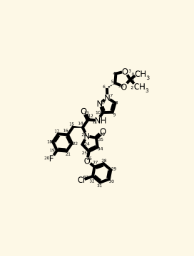 CC1(C)OC[C@@H](Cn2ccc(NC(=O)[C@H](Cc3ccc(F)cc3)N3CC(Oc4ccccc4Cl)=CC3=O)n2)O1